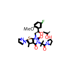 COc1ccc(F)cc1[C@H](Cn1c(=O)n(C(C)(C)C(=O)N2CCCC2)c(=O)c2c(C)c(-n3cccn3)sc21)OC[C@@H](C)O